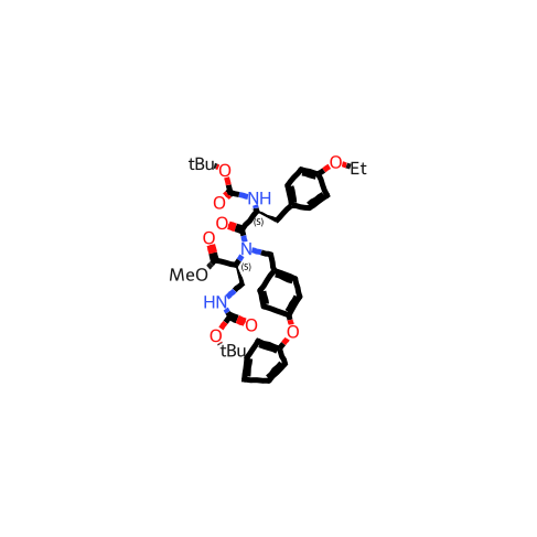 CCOc1ccc(C[C@H](NC(=O)OC(C)(C)C)C(=O)N(Cc2ccc(Oc3ccccc3)cc2)[C@@H](CNC(=O)OC(C)(C)C)C(=O)OC)cc1